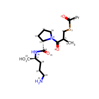 CC(C)C(=O)SCC(C)C(=O)N1CCC[C@H]1C(=O)N[C@@H](CCCN)C(=O)O